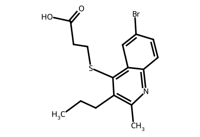 CCCc1c(C)nc2ccc(Br)cc2c1SCCC(=O)O